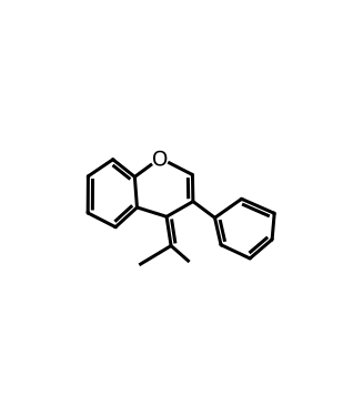 CC(C)=C1C(c2ccccc2)=COc2ccccc21